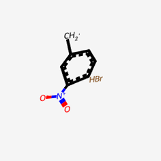 Br.[CH2]c1cccc([N+](=O)[O-])c1